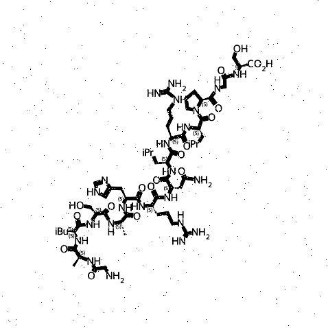 CC[C@H](C)[C@H](NC(=O)[C@H](C)NC(=O)CN)C(=O)N[C@@H](CO)C(=O)N[C@@H](C)C(=O)N[C@@H](Cc1c[nH]cn1)C(=O)N[C@@H](CCCNC(=N)N)C(=O)N[C@@H](CC(N)=O)C(=O)N[C@@H](CC(C)C)C(=O)N[C@@H](CCCNC(=N)N)C(=O)N[C@@H](CC(C)C)C(=O)N1CCC[C@H]1C(=O)NCC(=O)N[C@@H](CO)C(=O)O